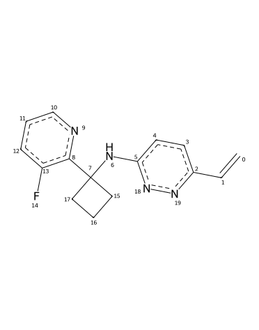 C=Cc1ccc(NC2(c3ncccc3F)CCC2)nn1